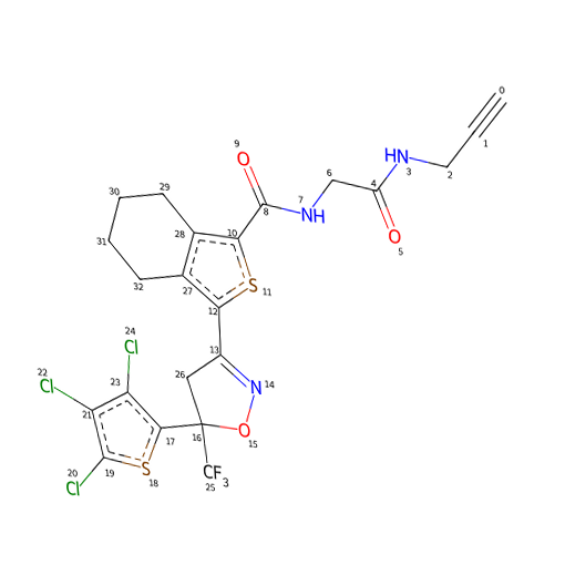 C#CCNC(=O)CNC(=O)c1sc(C2=NOC(c3sc(Cl)c(Cl)c3Cl)(C(F)(F)F)C2)c2c1CCCC2